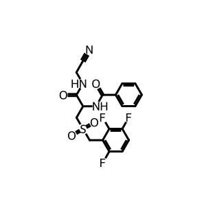 N#CCNC(=O)C(CS(=O)(=O)Cc1c(F)ccc(F)c1F)NC(=O)c1ccccc1